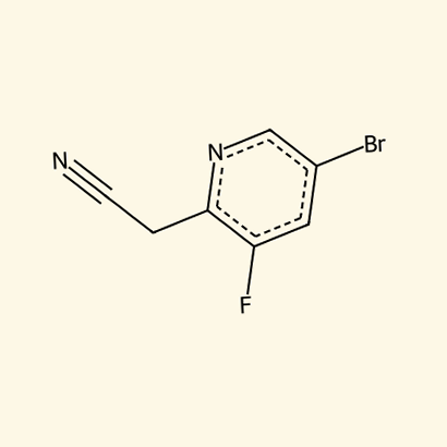 N#CCc1ncc(Br)cc1F